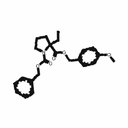 CCC1(C(=O)OCc2ccc(OC)cc2)CCCN1C(=O)OCc1ccccc1